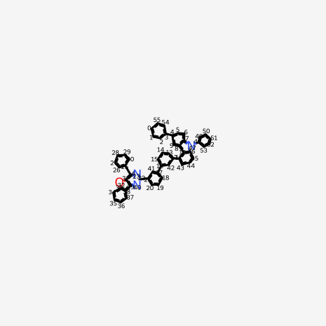 c1ccc(-c2ccc3c(c2)c2c(-c4cccc(-c5cccc(-c6nc(-c7ccccc7)c7oc8ccccc8c7n6)c5)c4)cccc2n3-c2ccccc2)cc1